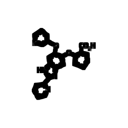 O=C(O)c1ccccc1Oc1cc2nc(-c3ccccn3)[nH]c2cc1Oc1cccnc1